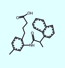 Cc1ccc(CCCC(=O)O)c(NC(=O)C(C)c2cccc3ccccc23)c1